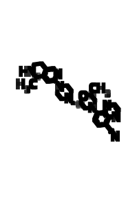 C[C@@H]1CN(c2ccc(C#N)c3nccnc23)C[C@H](CN2CCN(c3cc4c(cn3)CCN[C@H]4C)CC2)O1